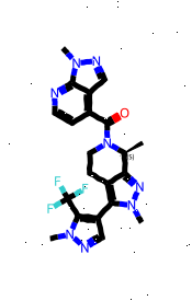 C[C@H]1c2nn(C)c(-c3cnn(C)c3C(F)(F)F)c2CCN1C(=O)c1ccnc2c1cnn2C